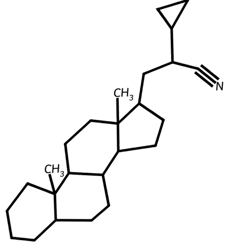 CC12CCCCC1CCC1C2CCC2(C)C(CC(C#N)C3CC3)CCC12